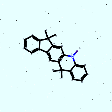 CC1(C)c2ccccc2-c2cc3c(cc21)N(I)c1ccccc1C3(C)C